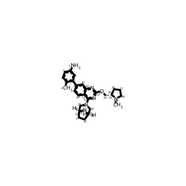 Cc1ccc(N)cc1-c1ccc2c(N3C[C@H]4CC[C@@H](C3)N4)nc(OC[C@@H]3CCCN3C)nc2c1